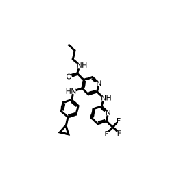 CCCNC(=O)c1cnc(Nc2cccc(C(F)(F)F)n2)cc1Nc1ccc(C2CC2)cc1